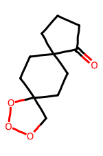 O=C1CCCC12CCC1(CC2)COOO1